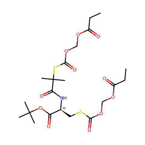 CCC(=O)OCOC(=O)SC[C@H](NC(=O)C(C)(C)SC(=O)OCOC(=O)CC)C(=O)OC(C)(C)C